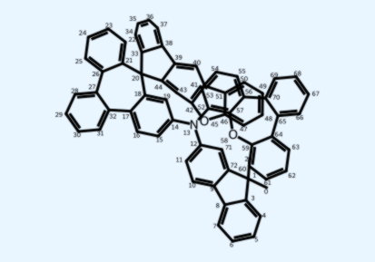 CC1(C)c2ccccc2-c2ccc(N(c3ccc4c(c3)C3(c5ccccc5-c5ccccc5-4)c4ccccc4-c4cc5c(cc43)oc3ccccc35)c3cccc4c3Oc3ccccc3-c3ccccc3-4)cc21